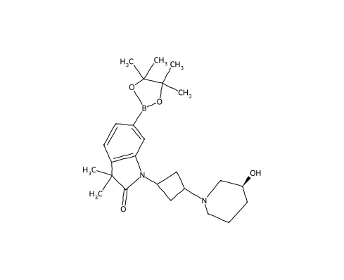 CC1(C)C(=O)N(C2CC(N3CCC[C@H](O)C3)C2)c2cc(B3OC(C)(C)C(C)(C)O3)ccc21